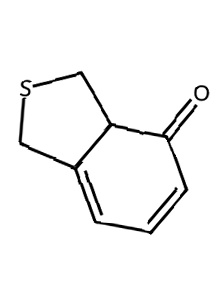 O=C1C=CC=C2CSCC12